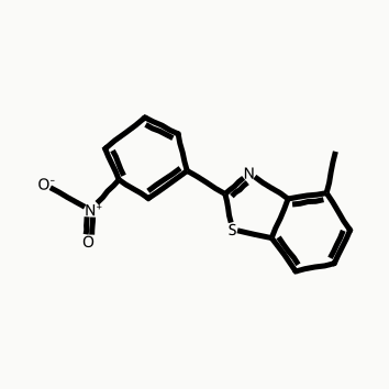 Cc1cccc2sc(-c3cccc([N+](=O)[O-])c3)nc12